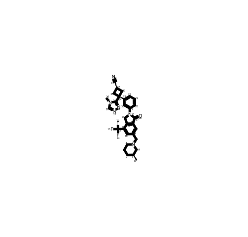 C[C@H]1CCCN(Cc2cc3c(c(C(F)(F)F)c2)CN(c2cccc([C@]4(c5nncn5C)C[C@H](C#N)C4)c2)C3=O)C1